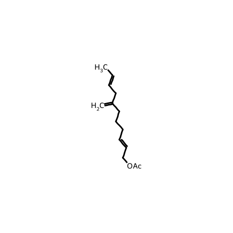 C=C(C/C=C/C)CCC/C=C/COC(C)=O